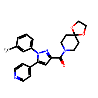 O=C(c1cc(-c2ccncc2)n(-c2cccc(C(F)(F)F)c2)n1)N1CCC2(CC1)OCCO2